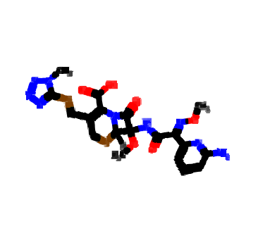 CON=C(C(=O)NC1(OC)C(=O)N2C(C(=O)O)=C(CSc3nnnn3C)CS[C@H]21)c1cccc(N)n1